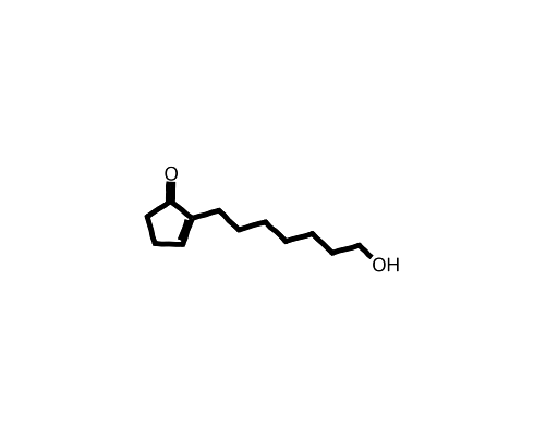 O=C1CCC=C1CCCCCCCO